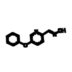 ON=Cc1ccc(Oc2ccccc2)cn1